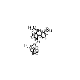 CCC(C)c1cccc2c1nc(N)c1ncn(CCCC3(C)OCCO3)c12